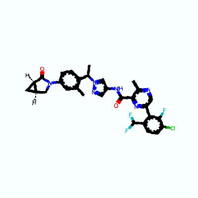 Cc1cc(N2C[C@H]3C[C@H]3C2=O)ccc1C(C)n1cc(NC(=O)c2nc(-c3c(C(F)F)ccc(Cl)c3F)cnc2C)cn1